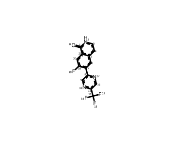 O=c1[nH]ccc2cc(-c3cnc(C(F)(F)F)cn3)c(F)cc12